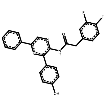 O=C(Cc1ccc(F)c(F)c1)Nc1ncc(-c2ccccc2)nc1-c1ccc(O)cc1